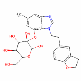 Cc1cc(O[C@]2(O)C(O)O[C@H](CO)[C@@H](O)[C@@H]2O)c2c(c1)ncn2CCc1ccc2c(c1)CCO2